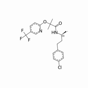 [CH2][C@@H](CCc1ccc(Cl)cc1)NC(=O)C(C)(C)Oc1ccc(C(F)(F)F)cn1